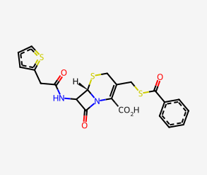 O=C(Cc1cccs1)NC1C(=O)N2C(C(=O)O)=C(CSC(=O)c3ccccc3)CS[C@@H]12